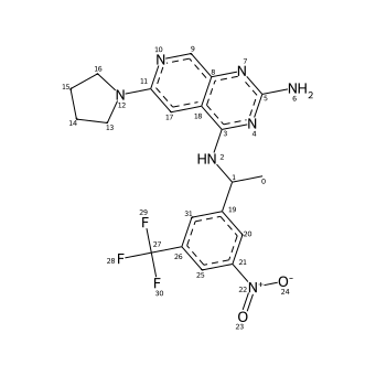 CC(Nc1nc(N)nc2cnc(N3CCCC3)cc12)c1cc([N+](=O)[O-])cc(C(F)(F)F)c1